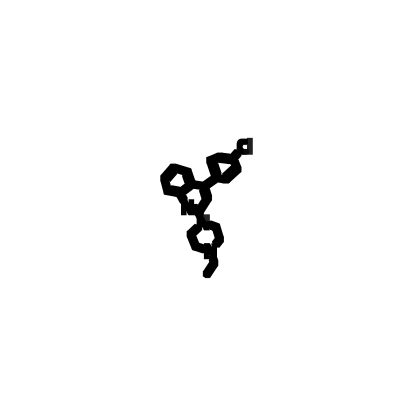 CCN1CCN(c2cc(-c3ccc(Cl)cc3)c3ccccc3n2)CC1